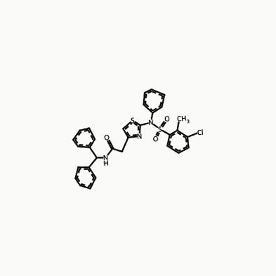 Cc1c(Cl)cccc1S(=O)(=O)N(c1ccccc1)c1nc(CC(=O)NC(c2ccccc2)c2ccccc2)cs1